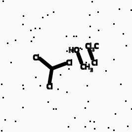 CO.ClC(Cl)(Cl)Cl.ClC(Cl)Cl